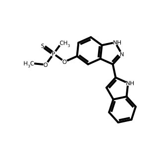 COP(C)(=S)Oc1ccc2[nH]nc(-c3cc4ccccc4[nH]3)c2c1